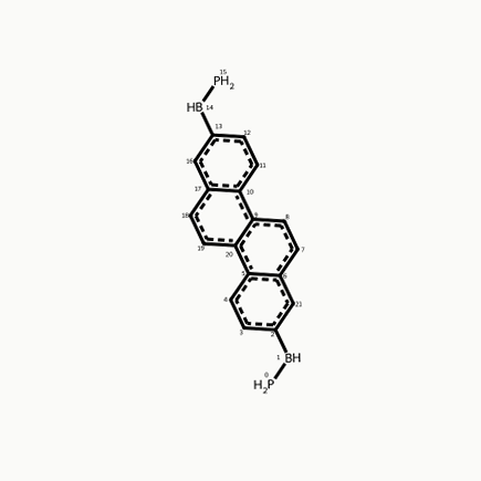 PBc1ccc2c(ccc3c4ccc(BP)cc4ccc23)c1